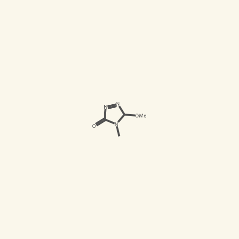 COC1N=NC(=O)N1C